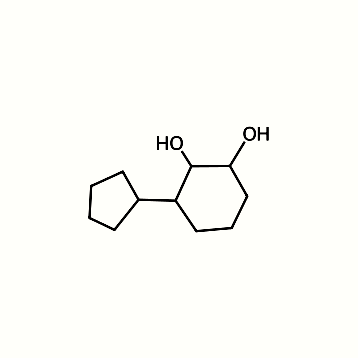 OC1CCCC(C2CCCC2)C1O